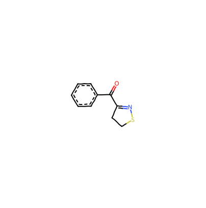 O=C(C1=NSCC1)c1ccccc1